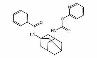 O=C(NC12CC3CC(C1)CC(NC(=O)c1ccccc1)(C3)C2)Oc1ccccn1